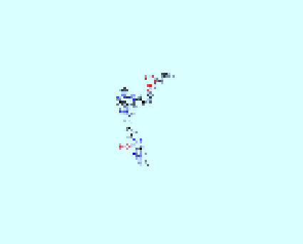 CNCC(O)COc1cccc(-c2cc(NCCCCCCNC(O)c3ccn(C)n3)c3cnn(C(C)C)c3n2)c1